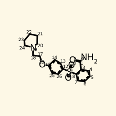 NC(=O)c1ccccc1S(=O)(=O)c1ccc(OCCN2CCCCC2)cc1